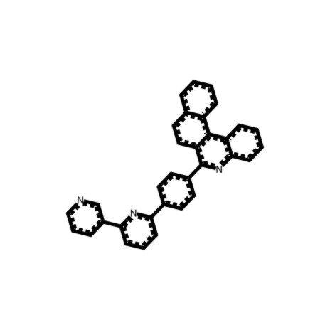 c1cncc(-c2cccc(-c3ccc(-c4nc5ccccc5c5c4ccc4ccccc45)cc3)n2)c1